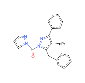 CCCc1c(-c2ccccc2)nn(C(=O)n2cccn2)c1Cc1ccccc1